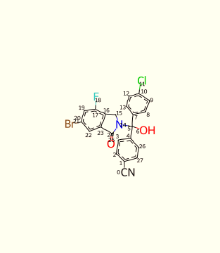 N#Cc1ccc(C(O)(c2ccc(Cl)cc2)N2Cc3c(F)cc(Br)cc3C2=O)cc1